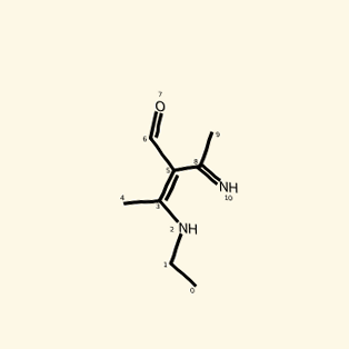 CCN/C(C)=C(/C=O)C(C)=N